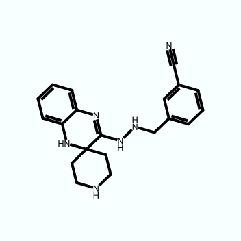 N#Cc1cccc(CNNC2=Nc3ccccc3NC23CCNCC3)c1